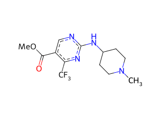 COC(=O)c1cnc(NC2CCN(C)CC2)nc1C(F)(F)F